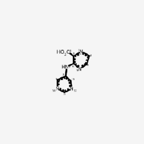 O=C(O)c1nccnc1Nc1cncnc1